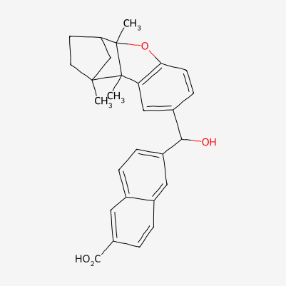 CC12CCC(C1)C1(C)Oc3ccc(C(O)c4ccc5cc(C(=O)O)ccc5c4)cc3C21C